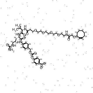 CC(C)[C@H](NC(=O)CCOCCOCCOCCOCCNC(=O)COC1C#CCCCCC1)C(=O)N[C@@H](CCCNC(N)=O)C(=O)Nc1ccc(COC(=O)Oc2ccc([N+](=O)[O-])cc2)cc1